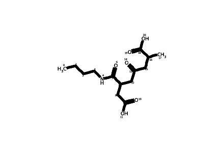 CCCCNC(=O)C(CC(=O)O)CC(=O)CC(C)C(=O)O